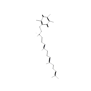 CC(C)=CCC/C(C)=C/CC/C(C)=C/CC[C@](C)(O)CCC1=C(C)C(=O)C(C)=C(C)C1=O